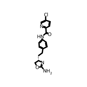 NC1=N[C@@H](CCc2ccc(NC(=O)c3ccc(Cl)cn3)cc2)CO1